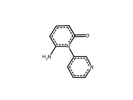 Nc1cccc(=O)n1-c1cccnc1